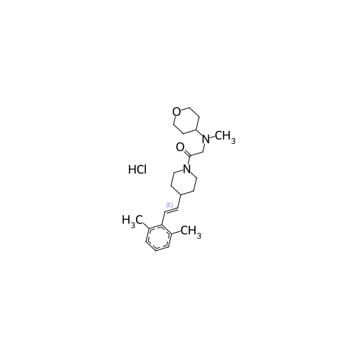 Cc1cccc(C)c1/C=C/C1CCN(C(=O)CN(C)C2CCOCC2)CC1.Cl